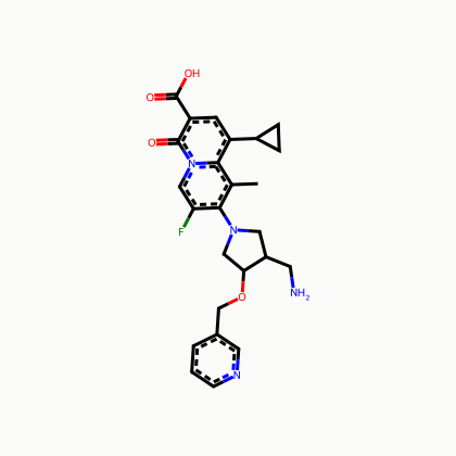 Cc1c(N2CC(CN)C(OCc3cccnc3)C2)c(F)cn2c(=O)c(C(=O)O)cc(C3CC3)c12